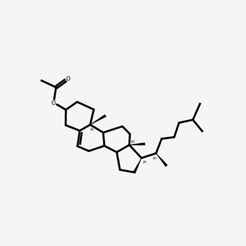 CC(=O)OC1CC[C@@]2(C)C(=CCC3C2CC[C@@]2(C)C3CC[C@@H]2[C@H](C)CCCC(C)C)C1